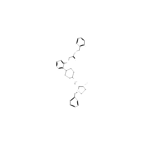 O=C(COc1ccccc1C1CCC(OC[C@H]2[C@H](O)CCN2Cc2ccccc2)CC1)OCc1ccccc1